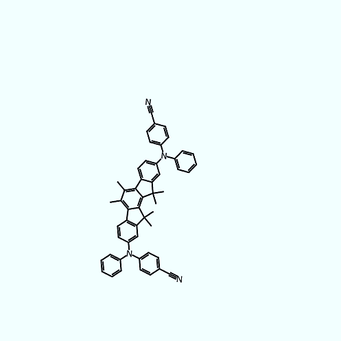 Cc1c(C)c2c(c3c1-c1ccc(N(c4ccccc4)c4ccc(C#N)cc4)cc1C3(C)C)C(C)(C)c1cc(N(c3ccccc3)c3ccc(C#N)cc3)ccc1-2